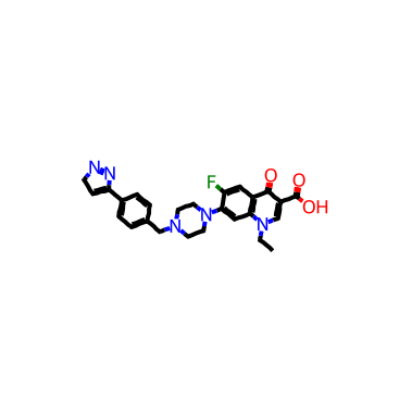 CCn1cc(C(=O)O)c(=O)c2cc(F)c(N3CCN(Cc4ccc(C5=CCN=N5)cc4)CC3)cc21